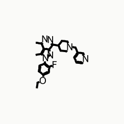 CCOc1ccc(-n2nc3c(C4CCN(Cc5cccnc5)CC4)nnc(C)c3c2C)c(F)c1